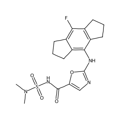 CN(C)S(=O)(=O)NC(=O)c1cnc(Nc2c3c(c(F)c4c2CCC4)CCC3)o1